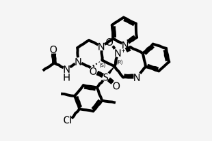 CC(=O)NN1CCN(c2ccccn2)[C@H]([C@@]2(S(=O)(=O)c3cc(C)c(Cl)cc3C)C=Nc3ccccc3C=[N+]2[O-])C1